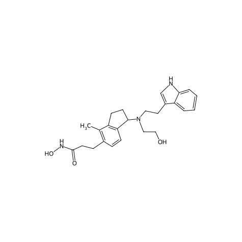 Cc1c(CCC(=O)NO)ccc2c1CCC2N(CCO)CCc1c[nH]c2ccccc12